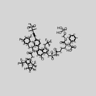 CC(C)(C#Cc1ccc(-c2ccc(Cl)c3c(CS(=O)(=O)NC(=O)CCCN(C(=O)OCOP(=O)(O)O)[C@H](C(=O)O)c4ccccc4)nn(CC(F)(F)F)c23)c([C@H](Cc2cc(F)cc(F)c2)NC(=O)Cn2nc(C(F)(F)F)c3c2C(F)(F)[C@@H]2C[C@H]32)n1)S(C)(=O)=O